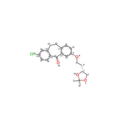 CC1(C)OC[C@@H](CCOc2ccc3c(c2)C(=O)c2ccc(Cl)cc2CC3)O1